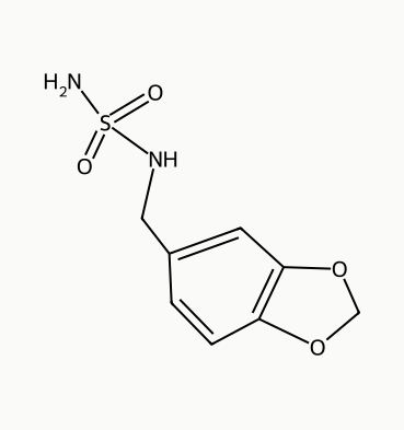 NS(=O)(=O)NCc1ccc2c(c1)OCO2